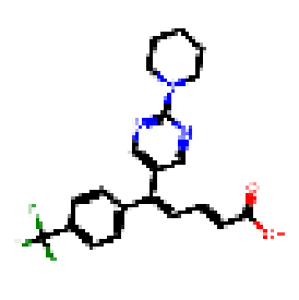 O=C(O)/C=C/C=C(/c1ccc(C(F)(F)F)cc1)c1cnc(N2CCCCC2)nc1